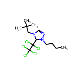 CCCCN1N=CN(CC(C)(C)C)C1C(Cl)(Cl)C(Cl)(Cl)Cl